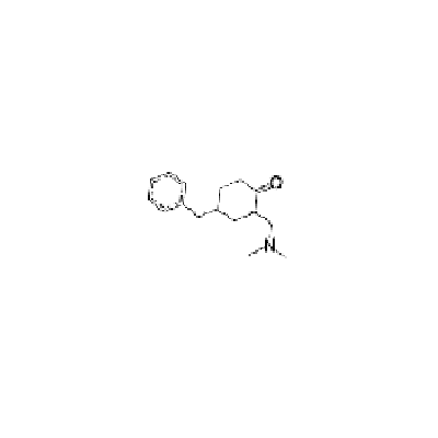 CN(C)CC1CC(Cc2ccccc2)CCC1=O